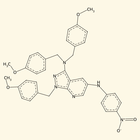 COc1ccc(CN(Cc2ccc(OC)cc2)c2nn(Cc3ccc(OC)cc3)c3ncc(Nc4ccc([N+](=O)[O-])cc4)cc23)cc1